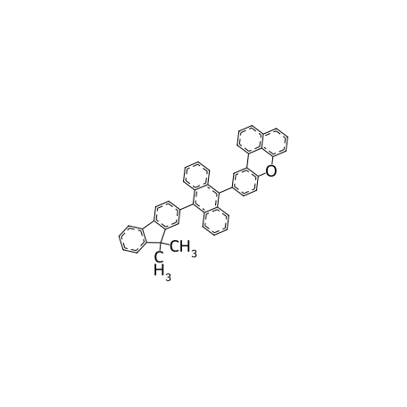 CC1(C)c2ccccc2-c2ccc(-c3c4ccccc4c(-c4ccc5c(c4)-c4cccc6cccc(c46)O5)c4ccccc34)cc21